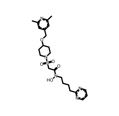 Cc1cc(COC2CCN(S(=O)(=O)CC(=O)N(O)CCCCc3ncccn3)CC2)cc(C)n1